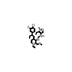 C=CN\C=C/C(=C\C(CC)c1ccc(Cl)c(F)c1)C(/C=C\N=C)=N\CNc1cnn(C)c1CC